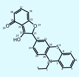 CCN1c2ccccc2Sc2cc(C3OC4=CC=CC(=O)C4=C3O)ccc21